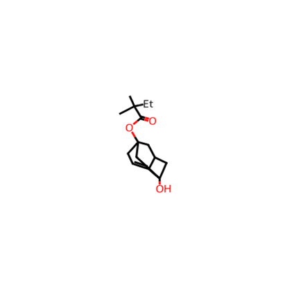 CCC(C)(C)C(=O)OC12CC=C3C(C1)CC3(O)C2